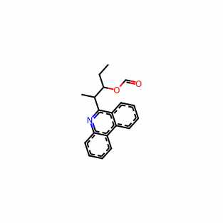 CCC(OC=O)C(C)c1nc2ccccc2c2ccccc12